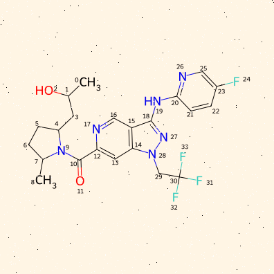 CC(O)CC1CCC(C)N1C(=O)c1cc2c(cn1)c(Nc1ccc(F)cn1)nn2CC(F)(F)F